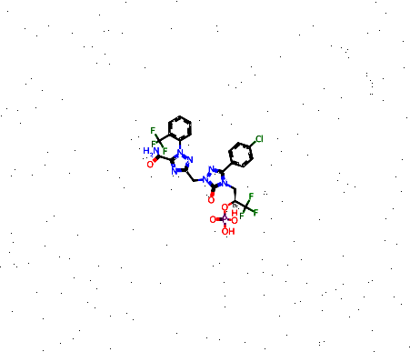 NC(=O)c1nc(Cn2nc(-c3ccc(Cl)cc3)n(C[C@H](OP(=O)(O)O)C(F)(F)F)c2=O)nn1-c1ccccc1C(F)(F)F